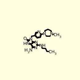 CCCCNc1nc(N)c2[nH]c(=O)n(Cc3ccc(N4CCCN(C)CC4)nc3)c2n1